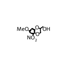 COc1cc2c(c([N+](=O)[O-])c1)OCC(CO)O2